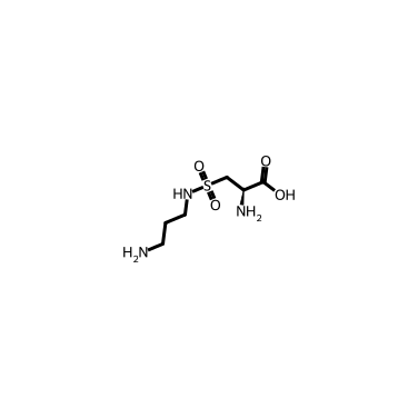 NCCCNS(=O)(=O)C[C@H](N)C(=O)O